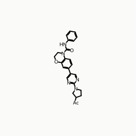 CC(=O)C1CCN(c2ncc(-c3ccc4c(c3)OCCN4C(=O)Nc3ccccc3)cn2)C1